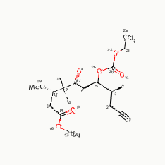 C#CC[C@H](C)[C@@H](CC(=O)C(C)(C)[C@H](CC(=O)OC(C)(C)C)OC)OC(=O)OCC(Cl)(Cl)Cl